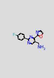 NCc1cnc(-c2ccc(F)cc2)nc1-c1ncco1